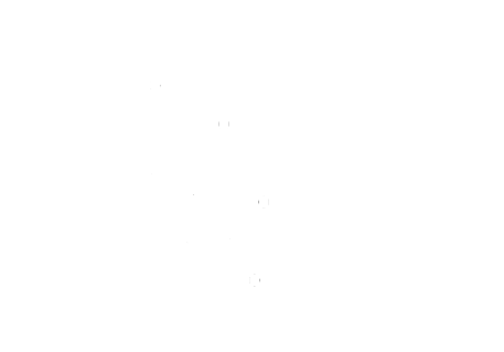 CC12CCC(C(=O)OC(c3ccccc3)OC1=O)C2(C)C